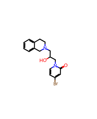 O=c1cc(Br)ccn1CC(O)CN1CCc2ccccc2C1